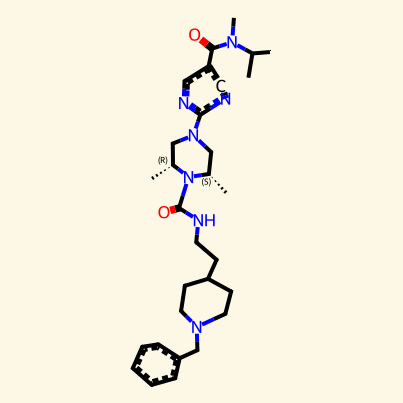 CC(C)N(C)C(=O)c1cnc(N2C[C@@H](C)N(C(=O)NCCC3CCN(Cc4ccccc4)CC3)[C@@H](C)C2)nc1